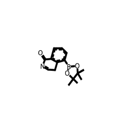 CC1(C)OB(c2cccc3c2CC=NC3=O)OC1(C)C